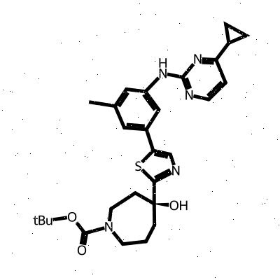 Cc1cc(Nc2nccc(C3CC3)n2)cc(-c2cnc([C@]3(O)CCCN(C(=O)OC(C)(C)C)CC3)s2)c1